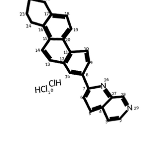 Cl.Cl.c1cc2ccc(-c3ccc4c(ccc5c6c(ccc54)CCCC6)c3)nc2cn1